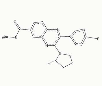 CCCCSC(=O)c1ccc2nc(-c3ccc(F)cc3)c(N3CCC[C@@H]3C)nc2c1